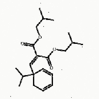 CC(C)COC(=O)C(=CC1(C(C)C)C=CC=CC1)C(=O)OCC(C)C